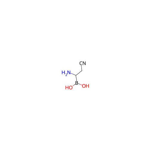 N#CCC(N)B(O)O